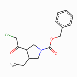 CCC1CN(C(=O)OCc2ccccc2)CC1C(=O)CBr